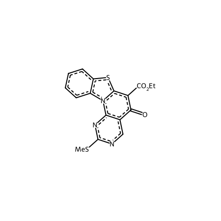 CCOC(=O)c1c(=O)c2cnc(SC)nc2n2c1sc1ccccc12